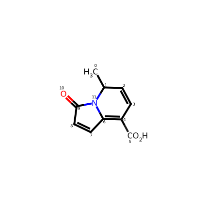 CC1C=CC(C(=O)O)=C2C=CC(=O)N21